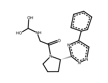 O=C(CNC(O)O)N1CCC[C@H]1c1nncc(-c2ccccc2)n1